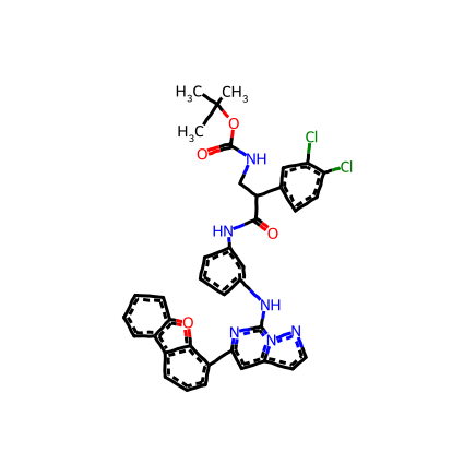 CC(C)(C)OC(=O)NCC(C(=O)Nc1cccc(Nc2nc(-c3cccc4c3oc3ccccc34)cc3ccnn23)c1)c1ccc(Cl)c(Cl)c1